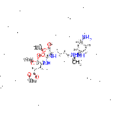 C=C(NCCCC[C@H](NC(=O)N[C@@H](CCC(=O)OC(C)(C)C)C(=O)OC(C)(C)C)C(=O)OC(C)(C)C)Nc1ccc(N)cc1